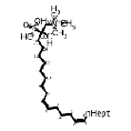 CCCCCCC/C=C\CCC/C=C\CCCCCCCCC(O)(C[N+](C)(C)C)P(=O)(O)O